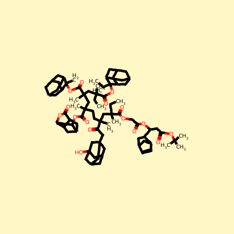 CCC(C)(CC(C)(CCC(C)(CC(C)(CC(C)(CC)C(=O)OC1(C(C)C)C2CC3CC(C2)CC1C3)C(=O)OC1(C)C2CC3CC(C2)CC1C3)C(=O)OC1C2CC3C(=O)OC1C3C2)C(=O)CC12CC3CC(CC(O)(C3)C1)C2)C(=O)OCC(=O)OC(CC(=O)OC(C)(C)C)C1CC2C=CC1C2